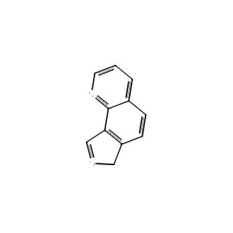 C1=NCc2ccc3cccnc3c21